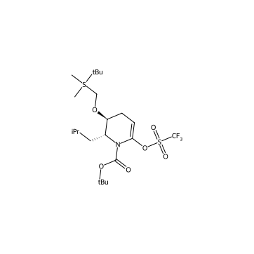 CC(C)C[C@@H]1[C@@H](OCS(C)(C)C(C)(C)C)CC=C(OS(=O)(=O)C(F)(F)F)N1C(=O)OC(C)(C)C